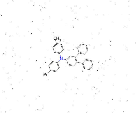 Cc1ccc(N(c2ccc(C(C)C)cc2)c2ccc(-c3ccccc3)c(-c3ccccc3)c2)cc1